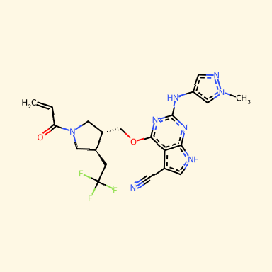 C=CC(=O)N1C[C@H](CC(F)(F)F)[C@@H](COc2nc(Nc3cnn(C)c3)nc3[nH]cc(C#N)c23)C1